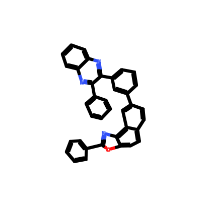 c1ccc(-c2nc3c(ccc4ccc(-c5cccc(-c6nc7ccccc7nc6-c6ccccc6)c5)cc43)o2)cc1